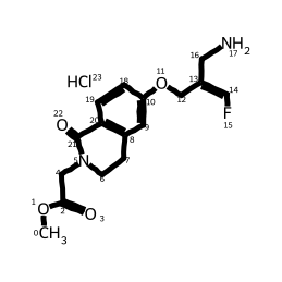 COC(=O)CN1CCc2cc(OC/C(=C\F)CN)ccc2C1=O.Cl